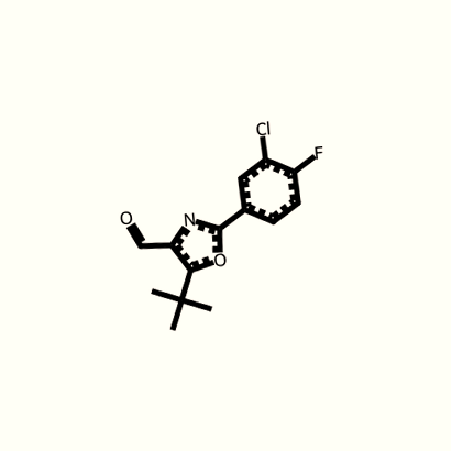 CC(C)(C)c1oc(-c2ccc(F)c(Cl)c2)nc1C=O